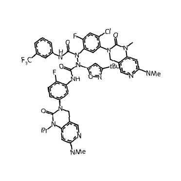 CNc1cc2c(cn1)CN(c1cc(N(C(=O)Nc3cccc(C(F)(F)F)c3)N(C(=O)Nc3cc(N4Cc5cnc(NC)cc5N(C(C)C)C4=O)ccc3F)c3cc(C(C)(C)C)no3)c(F)cc1Cl)C(=O)N2C